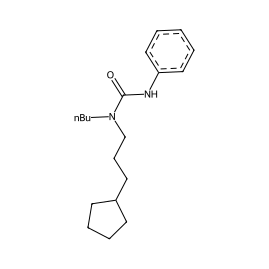 CCCCN(CCCC1CCCC1)C(=O)Nc1ccccc1